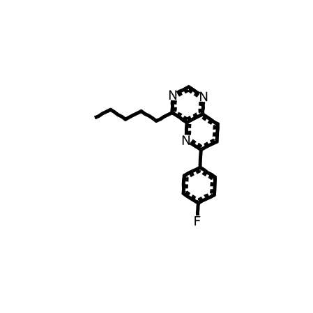 CCCCCc1ncnc2ccc(-c3ccc(F)cc3)nc12